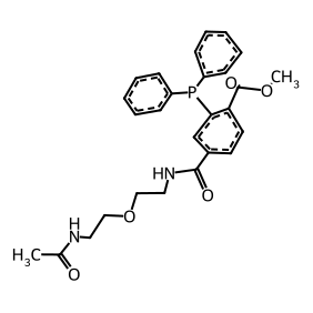 COC(=O)c1ccc(C(=O)NCCOCCNC(C)=O)cc1P(c1ccccc1)c1ccccc1